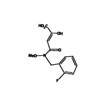 CON(Cc1ccccc1F)C(=O)/C=C(\O)C(=O)O